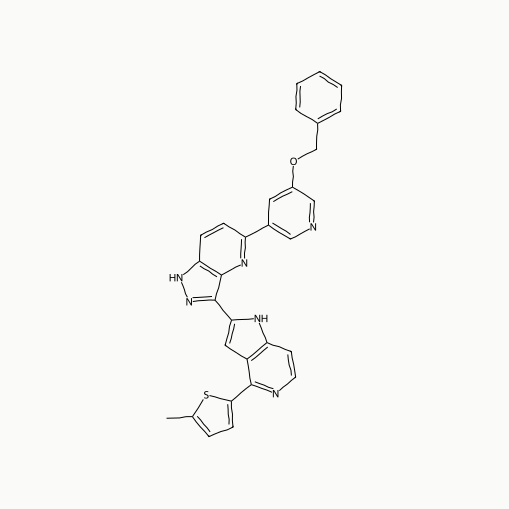 Cc1ccc(-c2nccc3[nH]c(-c4n[nH]c5ccc(-c6cncc(OCc7ccccc7)c6)nc45)cc23)s1